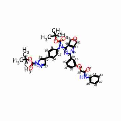 CC(C)(C)OC(=O)N(c1ccc(-c2cnn(C(=O)OC(C)(C)C)c2)cc1)c1nc(-c2cccc(OCC(=O)Nc3ccccc3)c2)nc2c1COC2